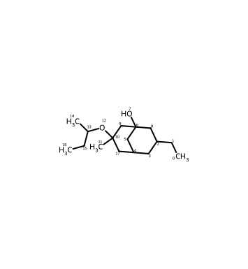 CCC1CC2CC(O)(C1)CC(C)(OC(C)CC)C2